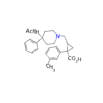 CC(=O)NC1(c2ccccc2)CCN(CC2CC2(C(=O)O)c2cccc(C)c2)CC1